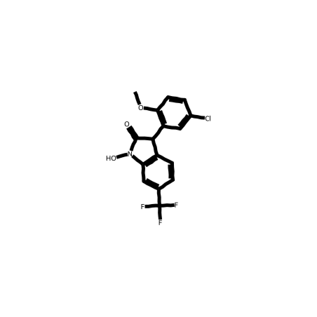 COc1ccc(Cl)cc1C1C(=O)N(O)c2cc(C(F)(F)F)ccc21